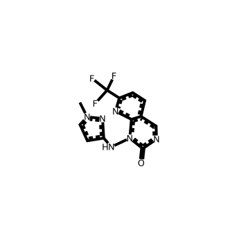 Cn1ccc(Nn2c(=O)ncc3ccc(C(F)(F)F)nc32)n1